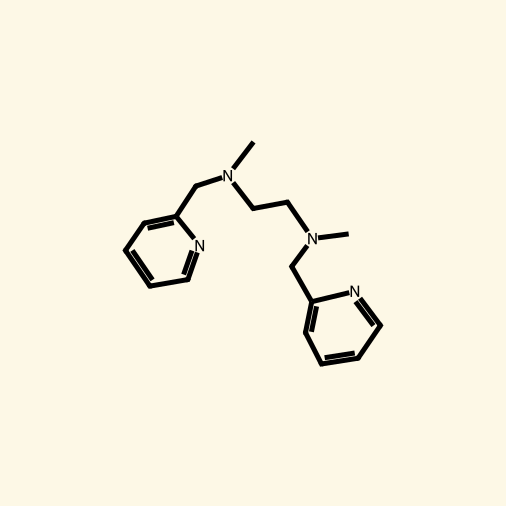 CN(CCN(C)Cc1ccccn1)Cc1ccccn1